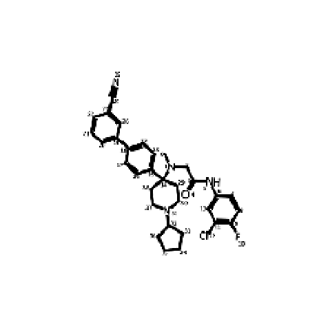 CN(CC(=O)Nc1ccc(F)c(Cl)c1)C1(c2ccc(-c3cccc(C#N)c3)cc2)CCN(C2CCCC2)CC1